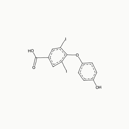 O=C(O)c1cc(I)c(Oc2ccc(O)cc2)c(I)c1